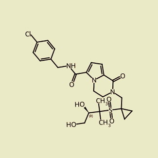 CC(C)([C@H](O)CO)S(=O)(=O)C1(CN2CCn3c(C(=O)NCc4ccc(Cl)cc4)ccc3C2=O)CC1